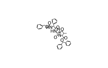 CC1C(=O)[C@@H]2C(NC(=O)C(NC(=O)OCc3ccccc3)c3ccccc3)C(=O)N2C1C(=O)OC(c1ccccc1)c1ccccc1